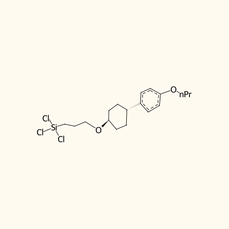 CCCOc1ccc([C@H]2CC[C@H](OCCC[Si](Cl)(Cl)Cl)CC2)cc1